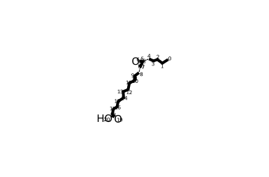 CCCCC[C@H]1O[C@H]1CC=CCCCCCCCC(=O)O